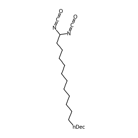 CCCCCCCCCCCCCCCCCCCCCC(N=C=O)N=C=O